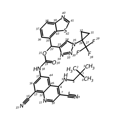 CC(C)(C)CNc1c(C#N)cnc2c(C#N)cc(NC(=O)OC(c3cn(C4(C(F)(F)F)CC4)nn3)c3cccc4ncsc34)cc12